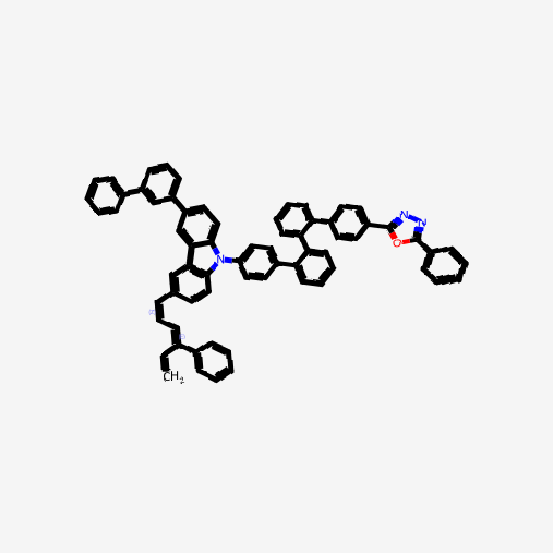 C=C/C(=C\C=C/c1ccc2c(c1)c1cc(-c3cccc(-c4ccccc4)c3)ccc1n2-c1ccc(-c2ccccc2-c2ccccc2-c2ccc(-c3nnc(-c4ccccc4)o3)cc2)cc1)c1ccccc1